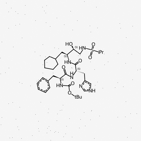 CC(C)S(=O)(=O)NC[C@H](O)[C@H](CC1CCCCC1)NC(=O)[C@H](Cc1c[nH]cn1)NC(=O)[C@H](Cc1ccccc1)NC(=O)OC(C)(C)C